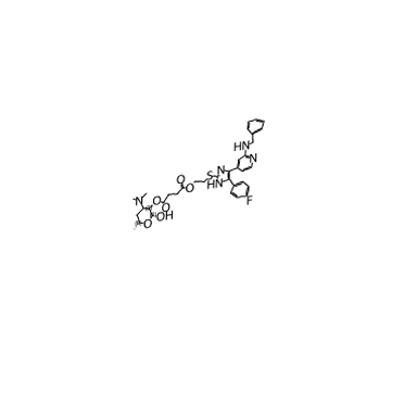 C[C@@H]1CC(N(C)C)[C@@H](OC(=O)CCC(=O)OCCSc2nc(-c3ccnc(NCc4ccccc4)c3)c(-c3ccc(F)cc3)[nH]2)[C@H](O)O1